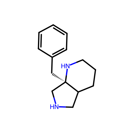 c1ccc(C[C@@]23CNCC2CCCN3)cc1